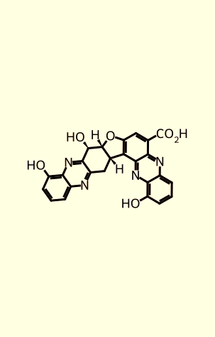 O=C(O)c1cc2c(c3nc4c(O)cccc4nc13)[C@@H]1Cc3nc4cccc(O)c4nc3[C@@H](O)[C@@H]1O2